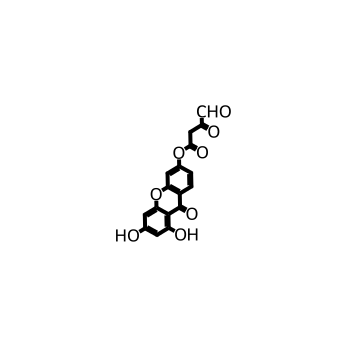 O=CC(=O)CC(=O)Oc1ccc2c(=O)c3c(O)cc(O)cc3oc2c1